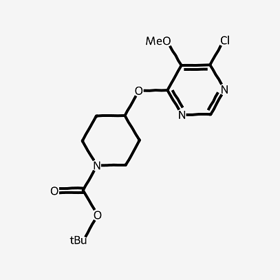 COc1c(Cl)ncnc1OC1CCN(C(=O)OC(C)(C)C)CC1